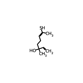 C=CC(C)(O)CC/C=C(\C)S